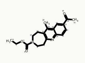 CCOC(=O)N1CCc2nc3ccc(C(C)=O)cc3c(C)c2CC1